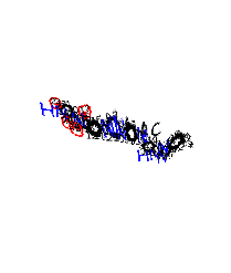 CC(=O)N(c1ccc(N2CCN(c3ccc4c(c3)C(=O)N(C3CCC(=O)NC3=O)C4=O)CC2)cc1)C1CCC(Nc2ncc3ccccc3n2)CC1